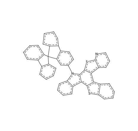 c1ccc2c(c1)-c1ccccc1C21c2ccccc2-c2ccc(-n3c4ccccc4c4c5sc6ccccc6c5c5c6cccnc6sc5c43)cc21